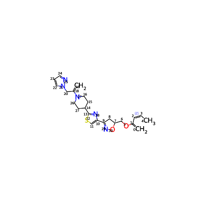 C=C(/C=C\C)OCC1CC(c2csc(C3CCN(C(=C)Cn4cccn4)CC3)n2)=NO1